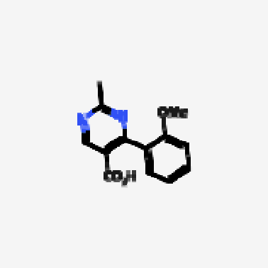 COc1ccccc1-c1nc(C)ncc1C(=O)O